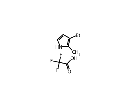 CCc1cc[nH]c1C.O=C(O)C(F)(F)F